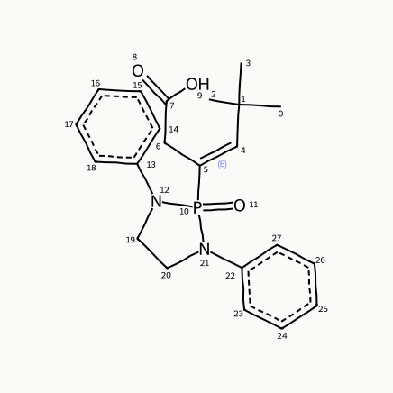 CC(C)(C)/C=C(\CC(=O)O)P1(=O)N(c2ccccc2)CCN1c1ccccc1